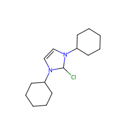 ClC1N(C2CCCCC2)C=CN1C1CCCCC1